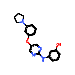 Oc1cccc(Nc2ncc(Oc3cccc(N4CCCC4)c3)cn2)c1